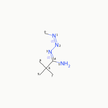 C/N=N\N=C(/N)C(C)(C)C